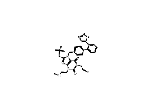 CCCn1c(=O)c2c(nc(CC(C)(C)C)n2Cc2ccc(-c3ccccc3-c3nnn[nH]3)cc2)n(CCOC)c1=O